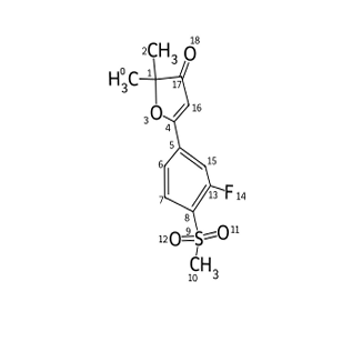 CC1(C)OC(c2ccc(S(C)(=O)=O)c(F)c2)=CC1=O